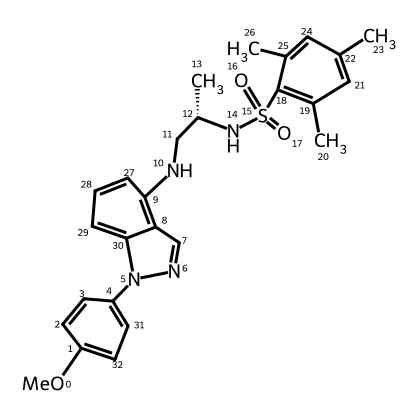 COc1ccc(-n2ncc3c(NC[C@H](C)NS(=O)(=O)c4c(C)cc(C)cc4C)cccc32)cc1